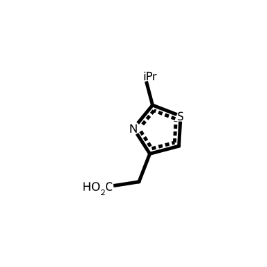 CC(C)c1nc(CC(=O)O)cs1